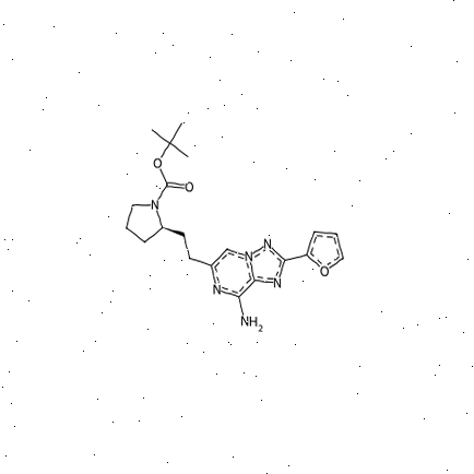 CC(C)(C)OC(=O)N1CCC[C@@H]1CCc1cn2nc(-c3ccco3)nc2c(N)n1